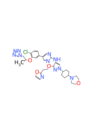 C[C@@H](Cn1cnnn1)Oc1cc(-c2cnc(Nc3cn(C4CCC(N5CCOCC5)CC4)nc3OCCc3ncco3)nc2)ccc1Cl